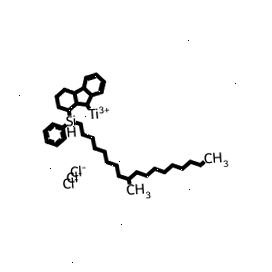 CCCCCCCCCC(C)CCCCCCCC[SiH](c1ccccc1)C1CCCC2C3C=CC=CC3[CH]([Ti+3])C21.[Cl-].[Cl-].[Cl-]